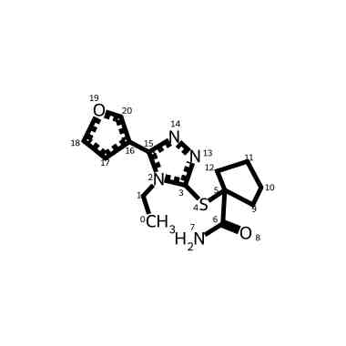 CCn1c(SC2(C(N)=O)CCCC2)nnc1-c1ccoc1